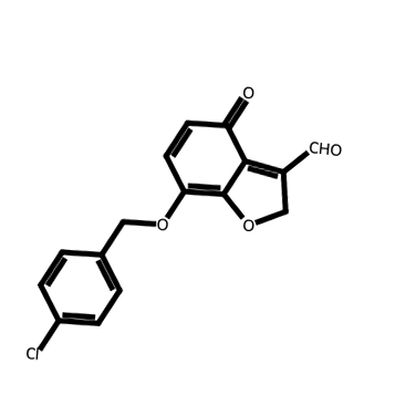 O=CC1=C2C(=O)C=CC(OCc3ccc(Cl)cc3)=C2OC1